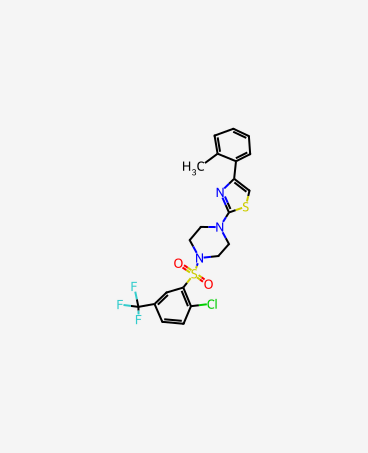 Cc1ccccc1-c1csc(N2CCN(S(=O)(=O)c3cc(C(F)(F)F)ccc3Cl)CC2)n1